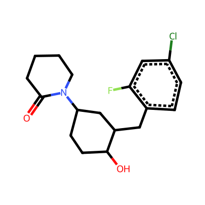 O=C1CCCCN1C1CCC(O)C(Cc2ccc(Cl)cc2F)C1